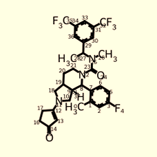 Cc1cc(F)ccc1C1[C@@H]2CN(C3=CC(=O)CC3)CC2CCN1C(=O)N(C)C(C)c1cc(C(F)(F)F)cc(C(F)(F)F)c1